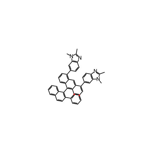 Cc1nc2ccc(-c3cccc4c(-c5c(-c6ccccc6)ccc6ccccc56)c5cccc(-c6ccc7nc(C)n(C)c7c6)c5cc34)cc2n1C